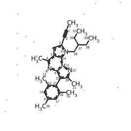 CC#Cc1cc2c(C)nc3c(-c4c(C)cc(C)cc4C)c(C)nn3c2n1CC(CC)CC